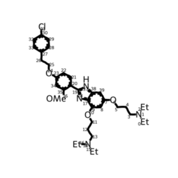 CCN(CC)CCCOc1cc(OCCCN(CC)CC)c2nc(-c3ccc(OCCc4ccc(Cl)cc4)cc3OC)[nH]c2c1